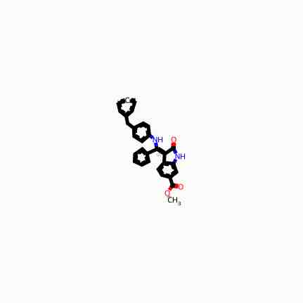 COC(=O)c1ccc2c(c1)NC(=O)/C2=C(\Nc1ccc(Cc2ccccc2)cc1)c1ccccc1